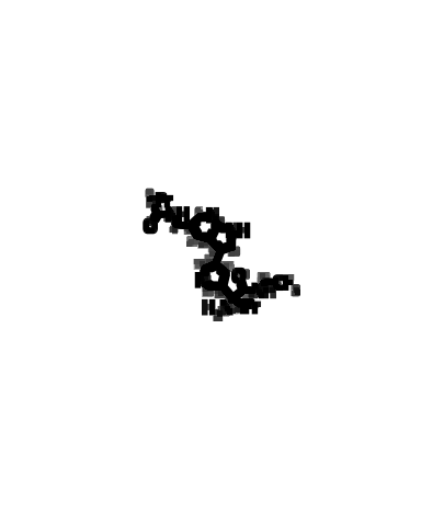 CCCC(=O)NCc1cnc2[nH]cc(-c3cncc(C(N)(C(=O)NCC(F)(F)F)C(C)C)c3)c2c1